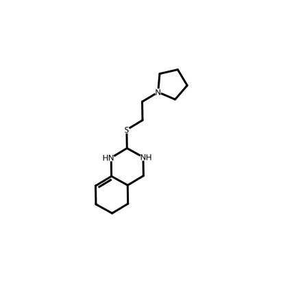 C1=C2NC(SCCN3CCCC3)NCC2CCC1